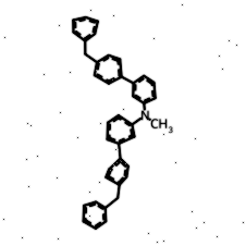 CN(c1cccc(-c2ccc(Cc3ccccc3)cc2)c1)c1cccc(-c2ccc(Cc3ccccc3)cc2)c1